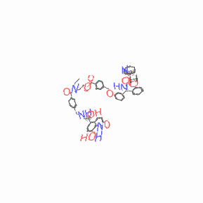 CCN(CCOC(=O)c1ccc(COc2cccc(C(NC(=O)O[C@H]3CN4CCC3CC4)c3ccccc3)c2)cc1)C(=O)c1ccc(CNC[C@@H](O)c2ccc(O)c3[nH]c(=O)ccc23)cc1